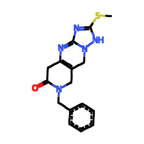 CSC1=NC2=NC3=C(CN(Cc4ccccc4)C(=O)C3)CN2N1